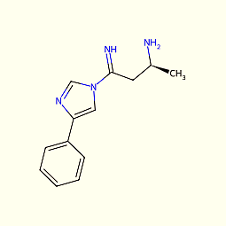 C[C@H](N)CC(=N)n1cnc(-c2ccccc2)c1